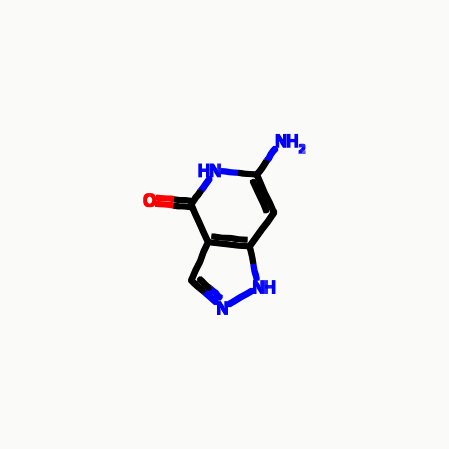 Nc1cc2[nH]ncc2c(=O)[nH]1